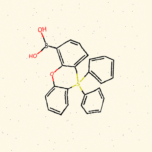 OB(O)c1cccc2c1Oc1ccccc1S2(c1ccccc1)c1ccccc1